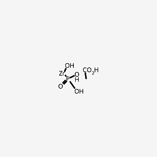 CC(=O)O.O=[P](O)(O)[Zr][OH]